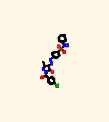 CC1=NN(C(=O)c2ccc(Cl)cc2)C(=O)C1/N=N/c1ccc(S(=O)(=O)Nc2ccccc2)cc1